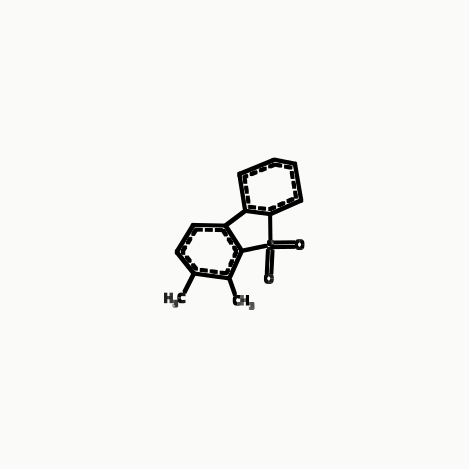 Cc1ccc2c(c1C)S(=O)(=O)c1ccccc1-2